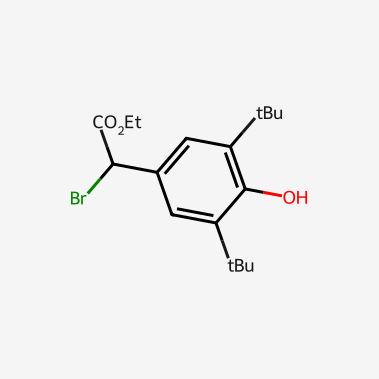 CCOC(=O)C(Br)c1cc(C(C)(C)C)c(O)c(C(C)(C)C)c1